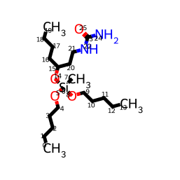 CCCCCO[Si](C)(OCCCCC)OC(CCCC)CCNC(N)=O